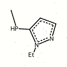 CCn1nccc1PC